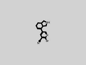 N#Cc1cc(C2=CCCC3CNCC23)cnc1Br